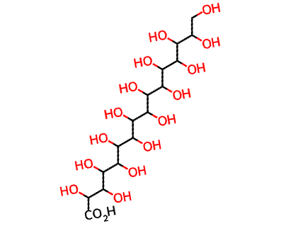 O=C(O)C(O)C(O)C(O)C(O)C(O)C(O)C(O)C(O)C(O)C(O)C(O)C(O)C(O)C(O)CO